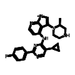 CC1CNCCN1c1c[nH]c2nccc(Nc3nc(-c4ccc(F)cc4)ncc3C3CC3)c12